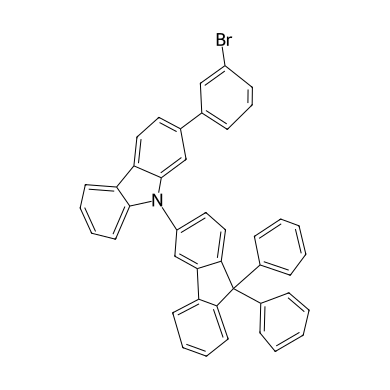 Brc1cccc(-c2ccc3c4ccccc4n(-c4ccc5c(c4)-c4ccccc4C5(c4ccccc4)c4ccccc4)c3c2)c1